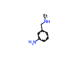 CCNCc1cccc(N)c1